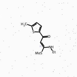 CCN/C(=C\C(=O)c1ccc(C)s1)SC